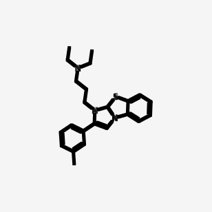 CCN(CC)CCCN1C(c2cccc(C)c2)=CN2c3ccccc3SC12